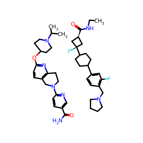 CC(C)N1CCC(Oc2ccc3c(n2)CCN(c2ccc(C(N)=O)cn2)C3)CC1.CCNC(=O)[C@H]1C[C@](F)(C2CCC(c3ccc(CN4CCCC4)c(F)c3)CC2)C1